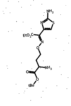 CCOC(=O)/C(=N\OCCC(N)C(=O)OC(C)(C)C)c1csc(N)n1